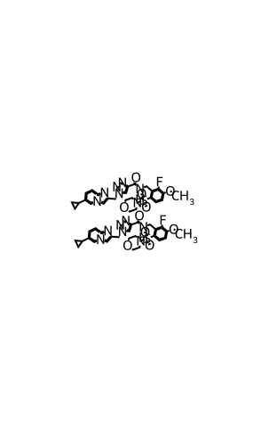 COc1ccc(S(=O)(=O)N2CCOCC2)c(CNC(=O)c2cn(Cc3cn4cc(C5CC5)ccc4n3)nn2)c1F.COc1ccc(S(=O)(=O)N2CCOCC2)c(CNC(=O)c2cn(Cc3cn4cc(C5CC5)ccc4n3)nn2)c1F